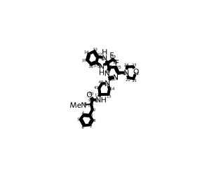 CN[C@H](Cc1ccccc1)C(=O)NC1CCN(c2nc(N3CCOCC3)cc(C3(C(F)F)Nc4ccccc4N3)n2)CC1